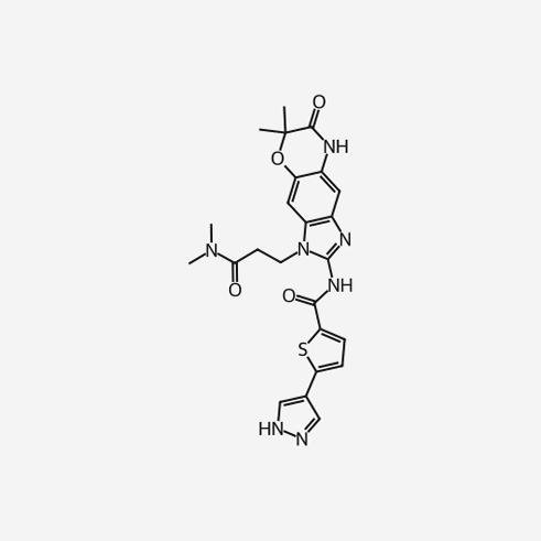 CN(C)C(=O)CCn1c(NC(=O)c2ccc(-c3cn[nH]c3)s2)nc2cc3c(cc21)OC(C)(C)C(=O)N3